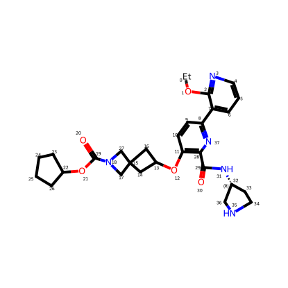 CCOc1ncccc1-c1ccc(OC2CC3(C2)CN(C(=O)OC2CCCC2)C3)c(C(=O)N[C@@H]2CCNC2)n1